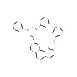 c1ccc(C2N=C(c3ccc4ccc5ccc6c(c5c4c3)OC(c3ccccc3)N6)NC(c3ccccc3)N2)cc1